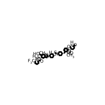 Cn1c(=O)n(C2CCC(=O)NC2=O)c2cccc(C[C@H]3CC[C@H](N(C)C[C@H]4CC[C@H](n5cc6cc(NC(=O)c7cccc(C(F)(F)F)n7)c(C(C)(C)O)cc6n5)CC4)CC3)c21